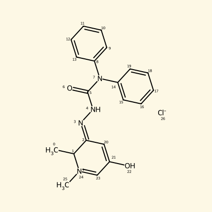 CC1C(=NNC(=O)N(c2ccccc2)c2ccccc2)C=C(O)C=[N+]1C.[Cl-]